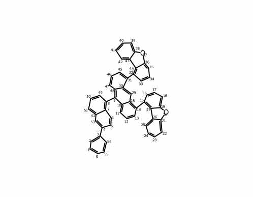 c1ccc(-c2ccc3c(-c4c5cccc(-c6cccc7oc8ccccc8c67)c5cc5c(-c6cccc7oc8ccccc8c67)cccc45)cccc3c2)cc1